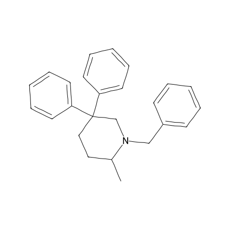 CC1CCC(c2ccccc2)(c2ccccc2)CN1Cc1ccccc1